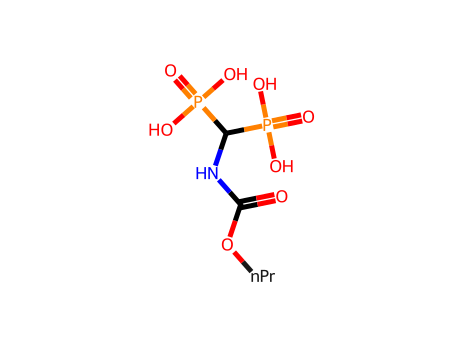 CCCOC(=O)NC(P(=O)(O)O)P(=O)(O)O